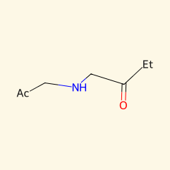 CCC(=O)CNCC(C)=O